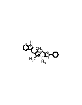 Cc1nc(-c2ccccc2)sc1Cn1nc(C)c(Cc2c[nH]c3ncccc23)c1C